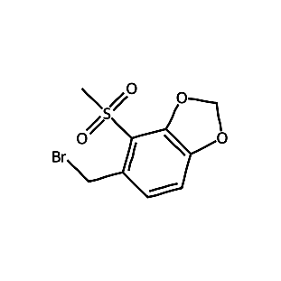 CS(=O)(=O)c1c(CBr)ccc2c1OCO2